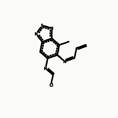 C=C/C=N\c1c(/N=C/Cl)cc2nsnc2c1C